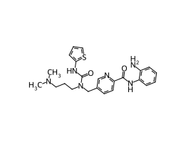 CN(C)CCCN(Cc1ccc(C(=O)Nc2ccccc2N)nc1)C(=O)Nc1cccs1